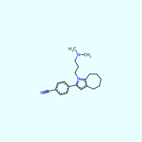 CN(C)CCCn1c(-c2ccc(C#N)cc2)cc2c1CCCCC2